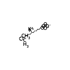 CC1C=CC=CC1(C)CCCCCCCCCCCCOOP(=O)([O-])[O-].[K+].[K+]